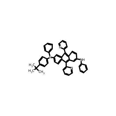 CC(C)(C)c1ccc(N(c2ccccc2)c2ccc3c(-c4ccccn4)c4cc(Nc5ccccc5)ccc4c(-c4ccccn4)c3c2)cc1